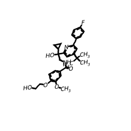 COc1cc(C(=O)NCC(O)(c2cc(C(C)(C)C)cc(-c3ccc(F)cc3)n2)C2CC2)ccc1OCCO